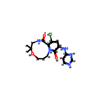 CC1(C)CNC(=O)c2c(Cl)cc(Nc3ccncn3)c(=O)n2CCCO1